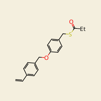 C=Cc1ccc(COc2ccc(CSC(=O)CC)cc2)cc1